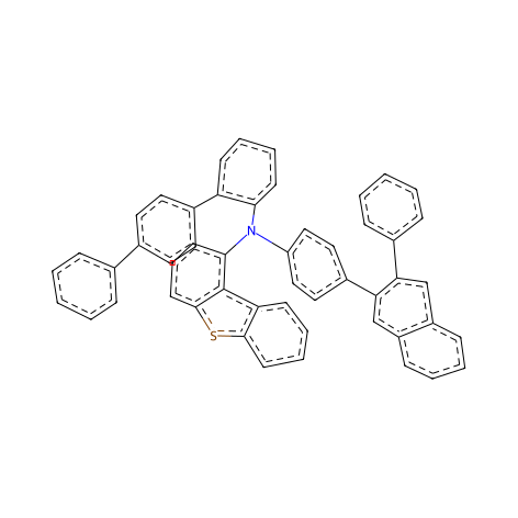 c1ccc(-c2ccc(-c3ccccc3N(c3ccc(-c4cc5ccccc5cc4-c4ccccc4)cc3)c3cccc4sc5ccccc5c34)cc2)cc1